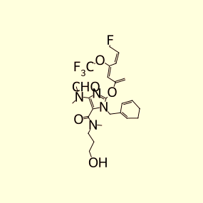 C=C(/C=C(\C=C/CF)OC(F)(F)F)Oc1nc(N(C)C=O)c(C(=O)N(C)CCCO)n1CC1=CCCC=C1